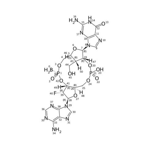 B[P@]1(=O)OC[C@H]2O[C@@H](n3cnc4c(=O)[nH]c(N)nc43)[C@H](OP(=O)(O)OC[C@H]3O[C@@H](n4cnc5c(N)ncnc54)[C@H](F)[C@@H]3O1)[C@@H]2CO